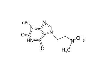 CCCn1c(=O)[nH]c(=O)c2c1ncn2CCN(C)C